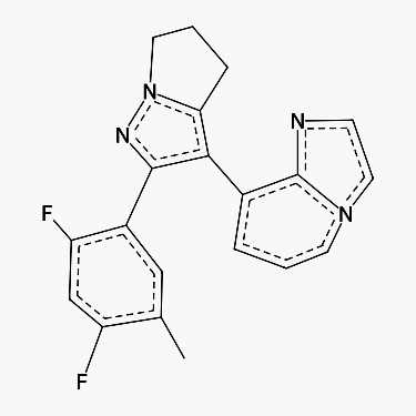 Cc1cc(-c2nn3c(c2-c2cccn4ccnc24)CCC3)c(F)cc1F